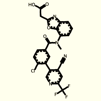 CN(C(=O)c1ccc(Cl)c(-c2cnc(C(F)(F)F)cc2C#N)c1)c1cccc2nc(CC(=O)O)oc12